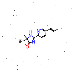 CC=Cc1ccc(C2=NC(=O)C(C)(C(C)C)N2)nc1